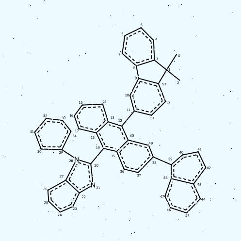 CC1(C)c2ccccc2-c2cc(-c3c4ccccc4c(-c4nc5ccccc5n4-c4ccccc4)c4ccc(-c5cccc6ccccc56)cc34)ccc21